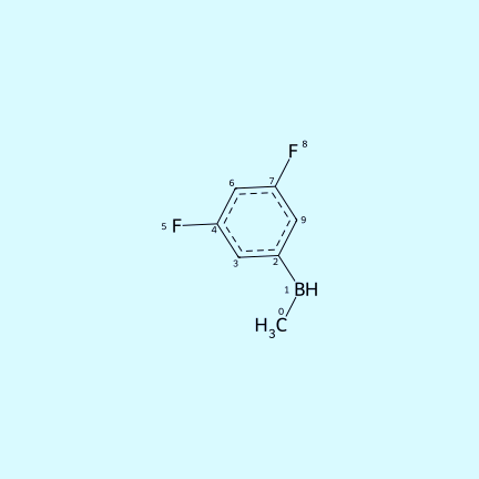 CBc1cc(F)cc(F)c1